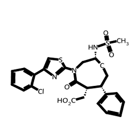 CS(=O)(=O)N[C@@H]1CC[C@H](c2ccccc2)[C@H](CC(=O)O)C(=O)N(c2nc(-c3ccccc3Cl)cs2)C1